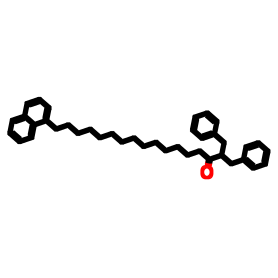 O=C(CCCCCCCCCCCCCCc1cccc2ccccc12)C(Cc1ccccc1)Cc1ccccc1